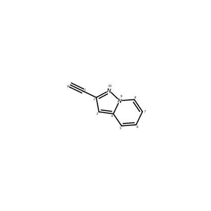 C#Cc1cc2ccccn2n1